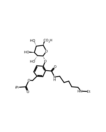 CCNCCCCCNC(=O)c1cc(COC(=O)C(C)C)ccc1O[C@H]1O[C@H](C(=O)O)[C@@H](O)[C@H](O)[C@H]1O